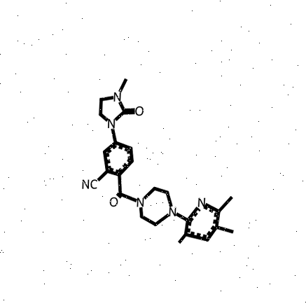 Cc1cc(C)c(N2CCN(C(=O)c3ccc(N4CCN(C)C4=O)cc3C#N)CC2)nc1C